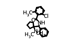 Cc1cccc(Cl)c1C(=O)NC(c1ccccc1)C1(N(C)C)CCCC1